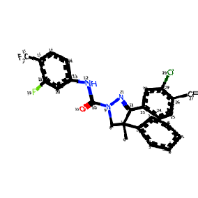 CC1(c2ccccc2)CN(C(=O)Nc2ccc(C(F)(F)F)c(F)c2)N=C1c1ccc(C(F)(F)F)c(Cl)c1